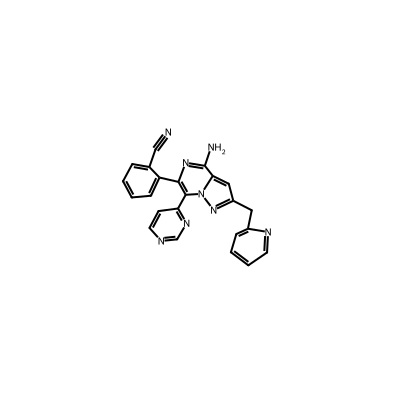 N#Cc1ccccc1-c1nc(N)c2cc(Cc3ccccn3)nn2c1-c1ccncn1